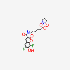 CN(CCCCCC(=O)ON1CCCC1=O)C(=O)c1cc2cc(F)c(O)c(F)c2oc1=O